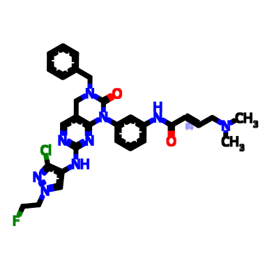 CN(C)C/C=C/C(=O)Nc1cccc(N2C(=O)N(Cc3ccccc3)Cc3cnc(Nc4cn(CCF)nc4Cl)nc32)c1